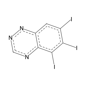 Ic1cc2nncnc2c(I)c1I